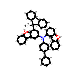 CC1(c2cc(N(c3ccc(-c4ccccc4)cc3)c3cccc4oc5ccccc5c34)cc3c2oc2ccccc23)c2ccccc2-c2ccccc21